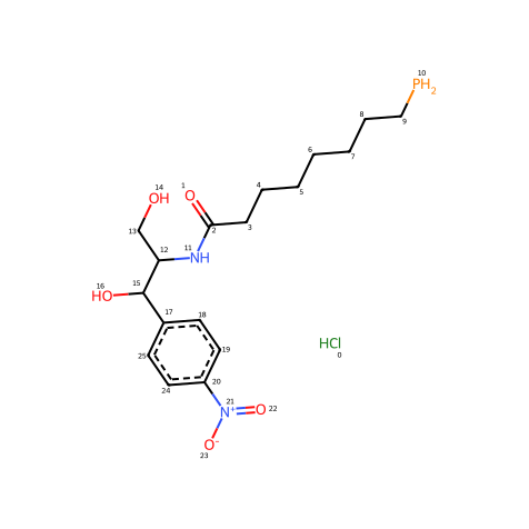 Cl.O=C(CCCCCCCP)NC(CO)C(O)c1ccc([N+](=O)[O-])cc1